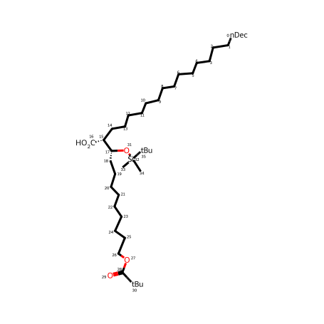 CCCCCCCCCCCCCCCCCCCCCCCC[C@@H](C(=O)O)[C@@H](CCCCCCCCCOC(=O)C(C)(C)C)O[Si](C)(C)C(C)(C)C